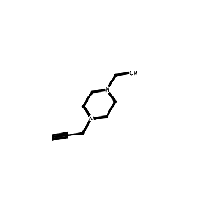 C#CCN1CCN(CC#N)CC1